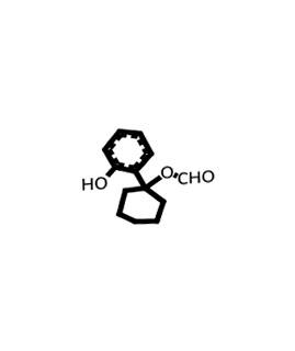 O=COC1(c2ccccc2O)CCCCC1